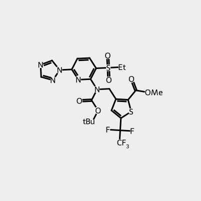 CCS(=O)(=O)c1ccc(-n2cncn2)nc1N(Cc1cc(C(F)(F)C(F)(F)F)sc1C(=O)OC)C(=O)OC(C)(C)C